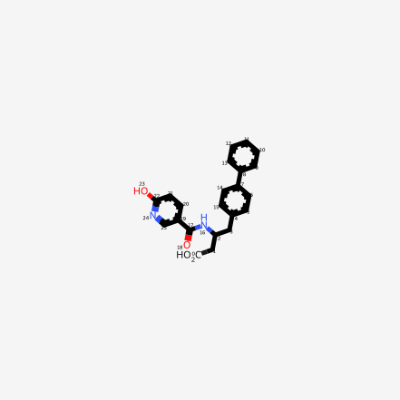 O=C(O)CC(Cc1ccc(-c2ccccc2)cc1)NC(=O)c1ccc(O)nc1